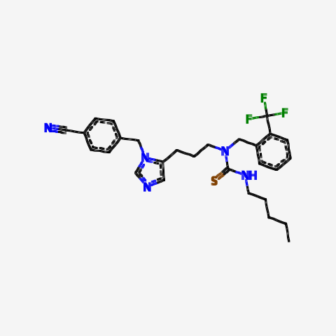 CCCCCNC(=S)N(CCCc1cncn1Cc1ccc(C#N)cc1)Cc1ccccc1C(F)(F)F